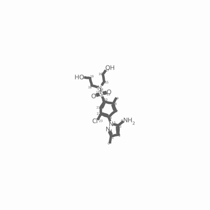 Cc1cc(N)n(-c2cc(C)c(S(=O)(=O)N(CCO)CCO)cc2Cl)n1